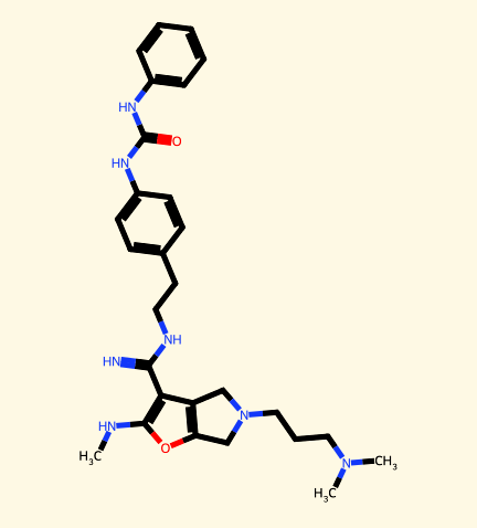 CNc1oc2c(c1C(=N)NCCc1ccc(NC(=O)Nc3ccccc3)cc1)CN(CCCN(C)C)C2